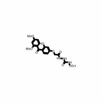 CCCCCCCCNC(=O)NNC(=O)COc1ccc(C(=O)c2ccc(OC)cc2OC)c(O)c1